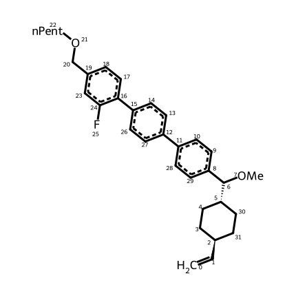 C=C[C@H]1CC[C@H](C(OC)c2ccc(-c3ccc(-c4ccc(COCCCCC)cc4F)cc3)cc2)CC1